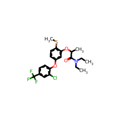 CCN(CC)C(=O)C(C)Oc1cc(Oc2ccc(C(F)(F)F)cc2Cl)ccc1SC